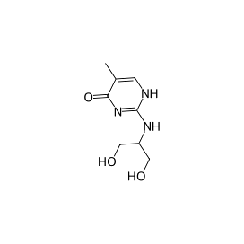 Cc1c[nH]c(NC(CO)CO)nc1=O